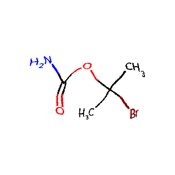 CC(C)(Br)OC(N)=O